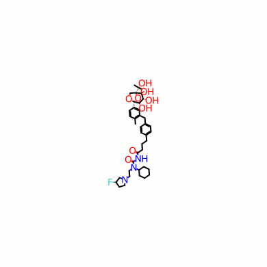 Cc1ccc([C@]23OC[C@](C(C)(C)O)(O2)[C@@H](O)[C@H](O)[C@H]3O)cc1Cc1ccc(CCCC(=O)NC(=O)N(CCN2CC[C@@H](F)C2)C2CCCCC2)cc1